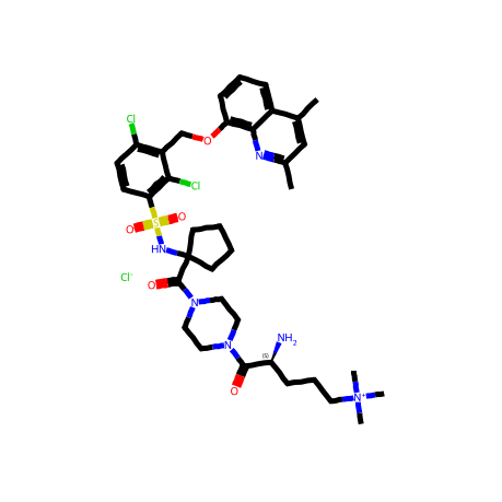 Cc1cc(C)c2cccc(OCc3c(Cl)ccc(S(=O)(=O)NC4(C(=O)N5CCN(C(=O)[C@@H](N)CCC[N+](C)(C)C)CC5)CCCC4)c3Cl)c2n1.[Cl-]